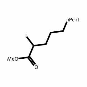 CCCCCCCCC(I)C(=O)OC